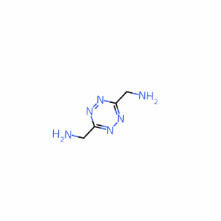 NCc1nnc(CN)nn1